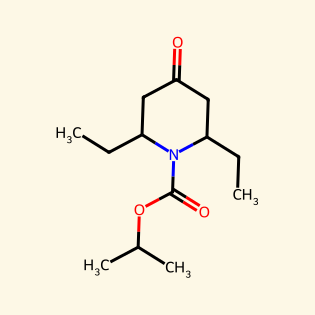 CCC1CC(=O)CC(CC)N1C(=O)OC(C)C